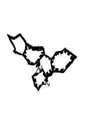 c1ccc2c(c1)c1cc3c(cc1n1ccnc21)CCC3